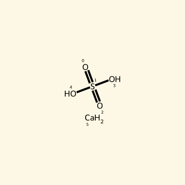 O=S(=O)(O)O.[CaH2]